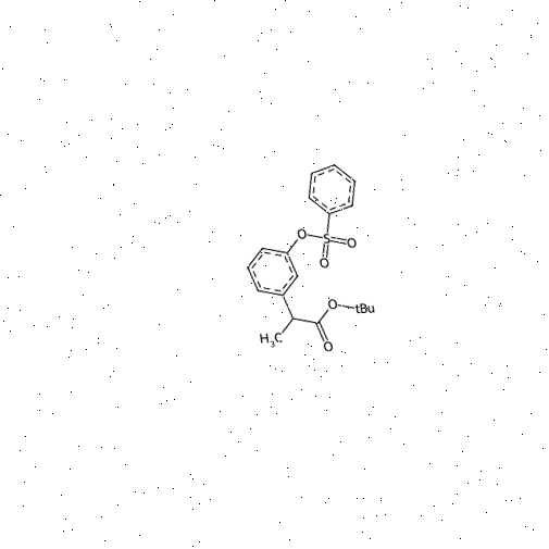 CC(C(=O)OC(C)(C)C)c1cccc(OS(=O)(=O)c2ccccc2)c1